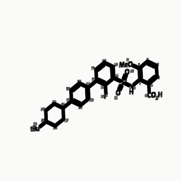 COc1cccc(C(=O)O)c1NS(=O)(=O)c1cccc(-c2ccc(C3CCC(C(C)(C)C)CC3)cc2)c1F